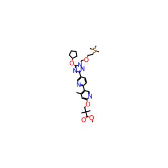 COC(=O)C(C)(C)COc1cc(C)c(-c2ccc(-c3nc(OC4CCCC4)n(COCCS(C)(C)C)n3)cn2)cn1